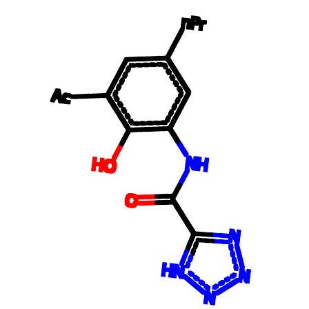 CCCc1cc(NC(=O)c2nnn[nH]2)c(O)c(C(C)=O)c1